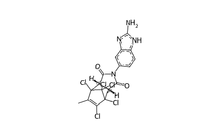 CC1=C(Cl)C2(Cl)[C@H]3C(=O)N(c4ccc5[nH]c(N)nc5c4)C(=O)[C@H]3C1(Cl)C2(Cl)Cl